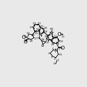 CC[C@@H]1CCCN(C(=O)c2cc(OC)c3c(c2)nc(-c2cc4cccc(C5CCS(=O)(=O)C5)c4n2CC2CC2)n3C)C1